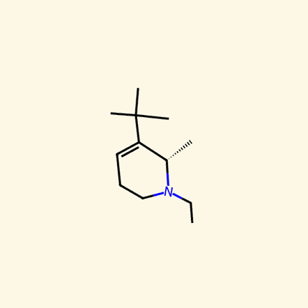 CCN1CCC=C(C(C)(C)C)[C@@H]1C